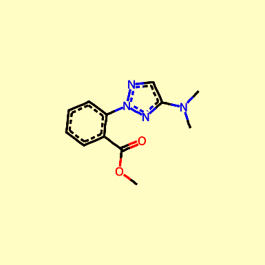 COC(=O)c1ccccc1-n1ncc(N(C)C)n1